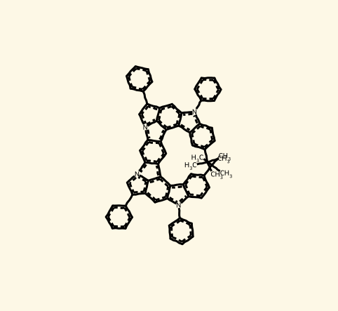 CC(C)(C)c1ccc2c(c1)c1c3c4cc5c6c7c8cc(C(C)(C)C)ccc8n(-c8ccccc8)c7cc7c(-c8ccccc8)cn(c5cc4n4cc(-c5ccccc5)c(cc1n2-c1ccccc1)c34)c76